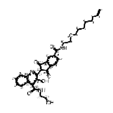 C=CCCCCCCOCCNC(=O)c1ccc2c(c1)C(=O)C(c1nc3ccccc3c(C(=O)NCCO)c1O)C2=O